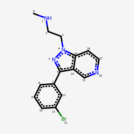 CNCCn1nc(-c2cccc(Br)c2)c2cnccc21